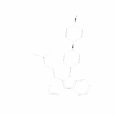 CC(C)[C@H]1CC[C@@H](N2CCC(n3c(CCOC(=O)C(C)(C)C)c(/C=N\O)c4ccccc43)CC2)CC1